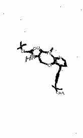 CN1C(=O)C(NC(=O)OC(C)(C)C)COc2c(C#CC(C)(C)O)ccnc21